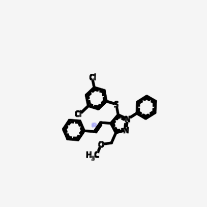 COCc1nn(-c2ccccc2)c(Sc2cc(Cl)cc(Cl)c2)c1/C=C/c1ccccc1